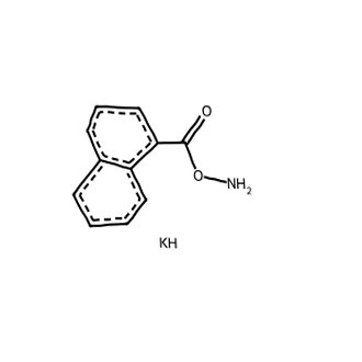 NOC(=O)c1cccc2ccccc12.[KH]